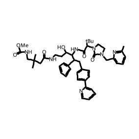 COC(=O)NCC(C)(C)CC(=O)NCCC(O)C(NC(=O)C(N1CCN(Cc2cccc(C)n2)C1=O)C(C)(C)C)C(Cc1ccc(-c2ccccn2)cc1)c1ccccc1